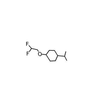 CC(C)C1CCC(OCC(F)F)CC1